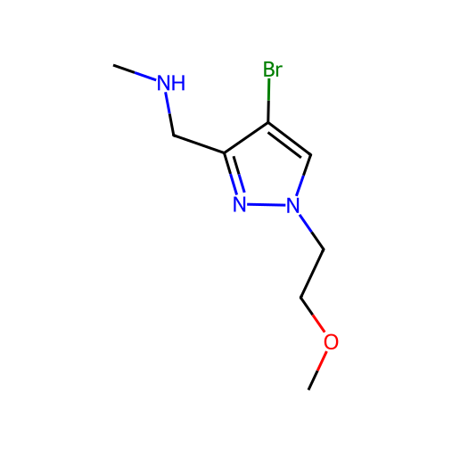 CNCc1nn(CCOC)cc1Br